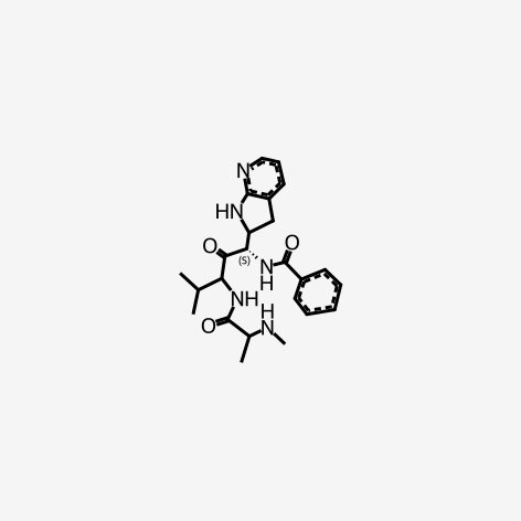 CNC(C)C(=O)NC(C(=O)[C@@H](NC(=O)c1ccccc1)C1Cc2cccnc2N1)C(C)C